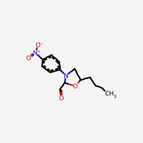 CCCCC1CN(c2ccc([N+](=O)[O-])cc2)C(C=O)O1